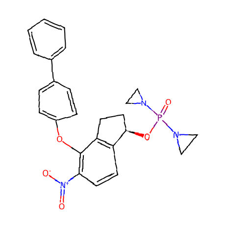 O=[N+]([O-])c1ccc2c(c1Oc1ccc(-c3ccccc3)cc1)CC[C@H]2OP(=O)(N1CC1)N1CC1